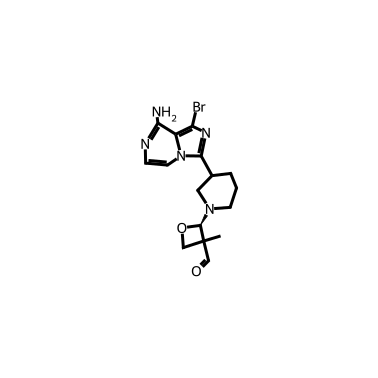 CC1(C=O)CO[C@H]1N1CCCC(c2nc(Br)c3c(N)nccn23)C1